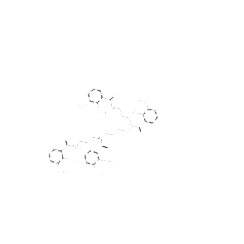 Cc1cccc(C(=O)N(CCCCN(CCCNC(=O)c2cccc(O)c2O)C(=O)c2cccc(C)c2O)CCCNC(=O)c2cccc(O)c2O)c1O